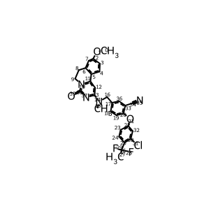 COc1ccc2c(c1)CCn1c-2cc(N(C)Cc2ccc(Oc3ccc(C(C)(F)F)c(Cl)c3)c(C#N)c2)nc1=O